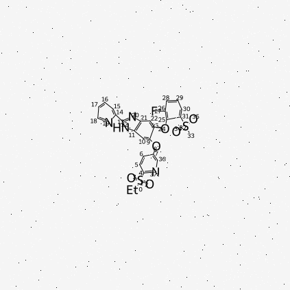 CCS(=O)(=O)c1ccc(Oc2cc3[nH]c(-c4ccccn4)nc3cc2Oc2c(F)cccc2S(C)(=O)=O)cn1